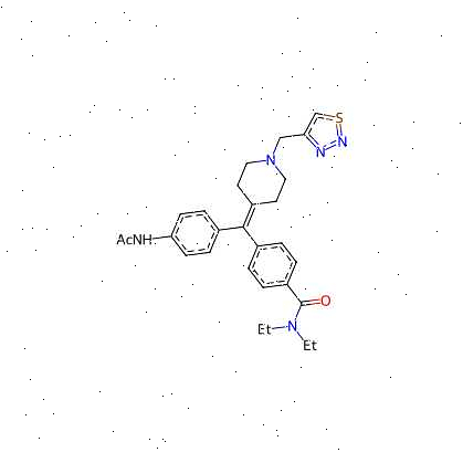 CCN(CC)C(=O)c1ccc(C(=C2CCN(Cc3csnn3)CC2)c2ccc(NC(C)=O)cc2)cc1